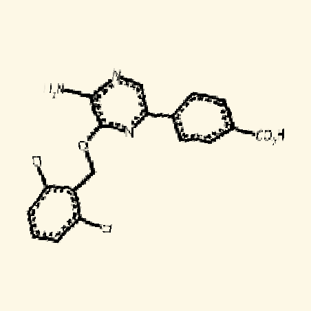 Nc1ncc(-c2ccc(C(=O)O)cc2)nc1OCc1c(Cl)cccc1Cl